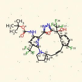 CC(C)(C)OC(=O)Nc1cc(C(F)(F)F)c2nc1-c1nnc(o1)C(O)(C(F)(F)F)c1ccc(F)c(c1)C=CC[C@@H]1CCCN21